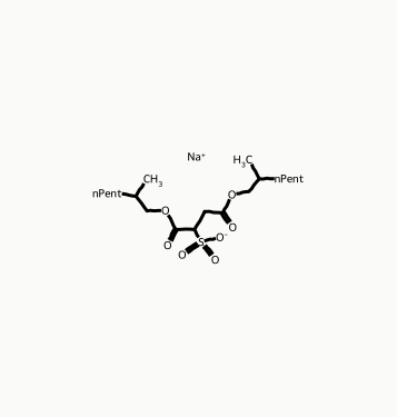 CCCCCC(C)COC(=O)CC(C(=O)OCC(C)CCCCC)S(=O)(=O)[O-].[Na+]